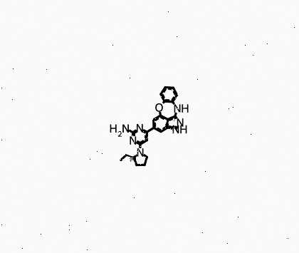 CC[C@@H]1CCCN1c1cc(-c2cc3c4c(n[nH]c4c2)Nc2ccccc2O3)nc(N)n1